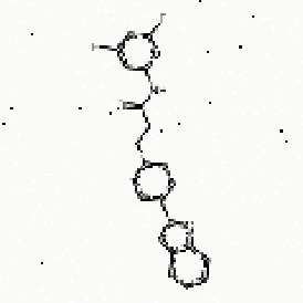 O=C(CCc1ccc(-c2cc3ccccc3o2)cc1)Nc1cc(F)cc(F)c1